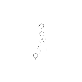 CC(N(Cc1ccc(F)cc1)C(=O)CN1CO[C@]2(C(=O)Cc3cc(-c4cccc(C(F)F)n4)ccc32)C1=O)C(F)(F)F